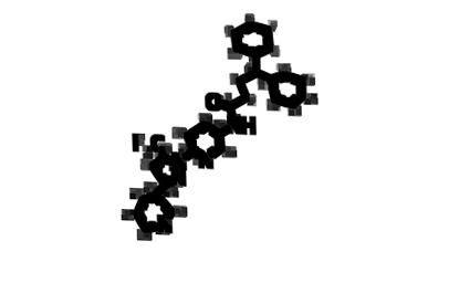 O=C(CCC(c1ccccc1)c1ccccc1)Nc1ccc(-n2nc(-c3cccnc3)cc2C(F)(F)F)nc1